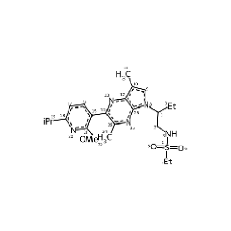 CCC(CNS(=O)(=O)CC)n1cc(C)c2nc(-c3ccc(C(C)C)nc3OC)c(C)nc21